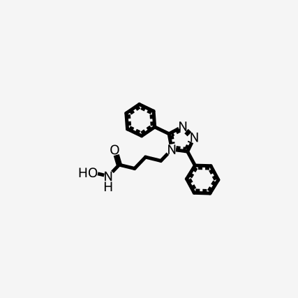 O=C(CCCn1c(-c2ccccc2)nnc1-c1ccccc1)NO